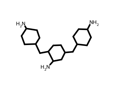 NC1CCC(CC2CCC(CC3CCC(N)CC3)C(N)C2)CC1